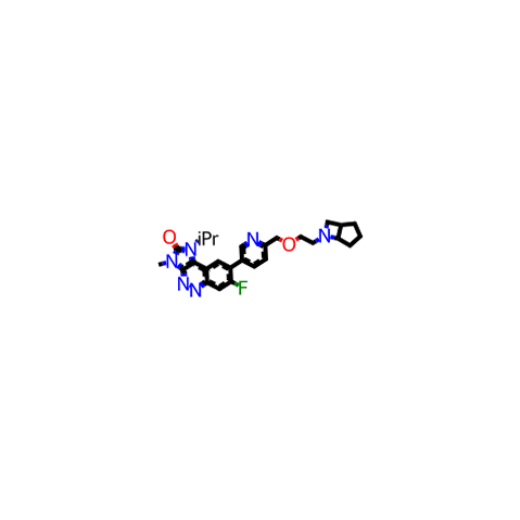 CC(C)n1c(=O)n(C)c2nnc3cc(F)c(-c4ccc(COCCN5CC6CCCC65)nc4)cc3c21